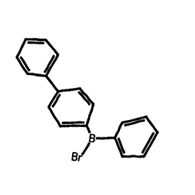 BrB(c1ccccc1)c1ccc(-c2ccccc2)cc1